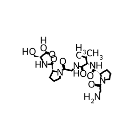 CC(C)[C@H](NC(=O)[C@@H]1CCCN1C(=O)CN)C(=O)NCC(=O)N1CCC[C@H]1C(=O)N[C@@H](CO)C(=O)O